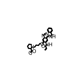 C=CC(=O)Nc1cc2c(N[C@H](C)c3ccccc3)ncnc2cc1OCCCCN1CCCCC1C(=O)OC